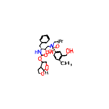 Cc1ccc(S(=O)(=O)N(CC(C)C)C[C@@H](O)[C@H](Cc2ccccc2)NC(=O)OC2CO[C@H]3OCCC23)cc1CO